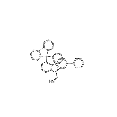 N=Cn1c2cc(-c3ccccc3)ccc2c2c(C3(c4ccccc4)c4ccccc4-c4ccccc43)cccc21